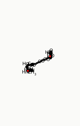 C[C@@H](NC(=O)c1cccc(NCC(=N)N(C)C(=N)c2ccncn2)c1)c1ccc(OCCCCCCOCCOCCOCCC(=O)Nc2cccc3c2CN(C2CCC(=O)NC2=O)C3=O)cc1